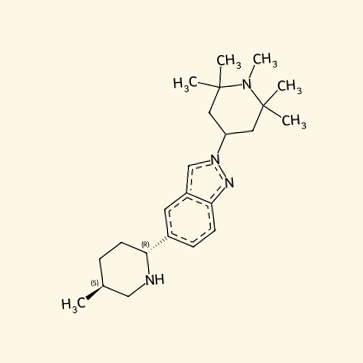 C[C@H]1CC[C@H](c2ccc3nn(C4CC(C)(C)N(C)C(C)(C)C4)cc3c2)NC1